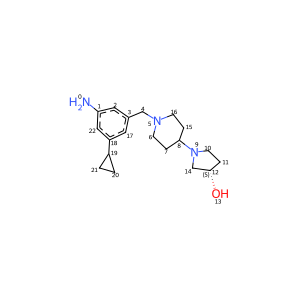 Nc1cc(CN2CCC(N3CC[C@H](O)C3)CC2)cc(C2CC2)c1